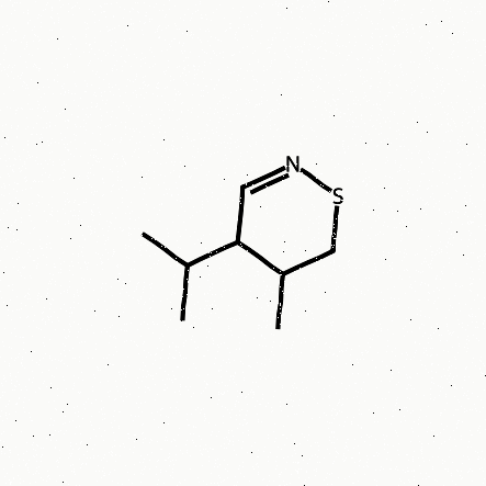 CC(C)C1C=NSCC1C